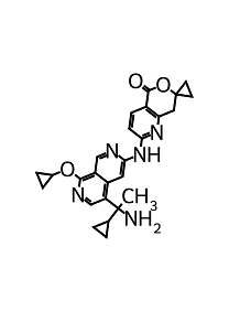 CC(N)(c1cnc(OC2CC2)c2cnc(Nc3ccc4c(n3)CC3(CC3)OC4=O)cc12)C1CC1